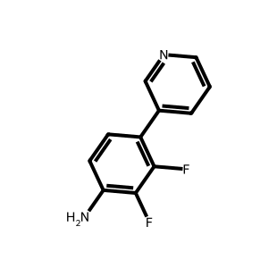 Nc1ccc(-c2cccnc2)c(F)c1F